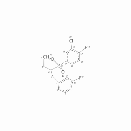 C=CC(Cc1cccc(F)c1)S(=O)(=O)c1ccc(F)c(Cl)c1